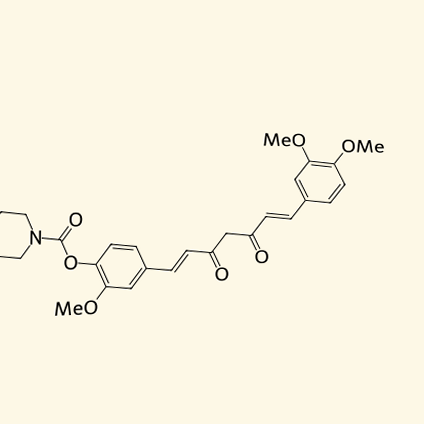 COc1ccc(C=CC(=O)CC(=O)C=Cc2ccc(OC(=O)N3CCCCC3)c(OC)c2)cc1OC